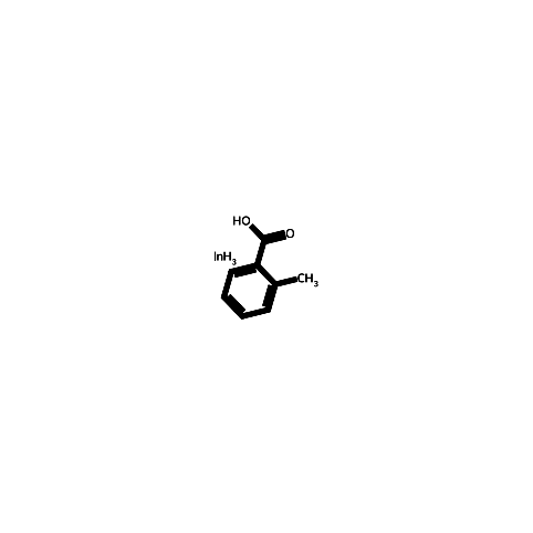 Cc1ccccc1C(=O)O.[InH3]